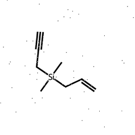 C#CC[Si](C)(C)CC=C